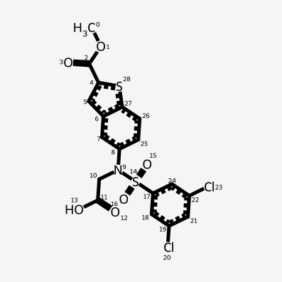 COC(=O)c1cc2cc(N(CC(=O)O)S(=O)(=O)c3cc(Cl)cc(Cl)c3)ccc2s1